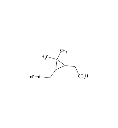 CCCCCCC1C(CC(=O)O)C1(C)C